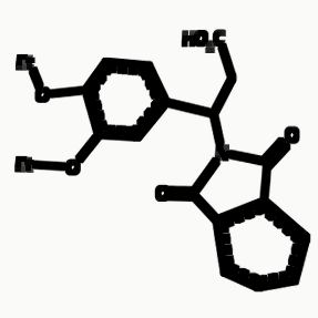 CCOc1ccc(C(CC(=O)O)N2C(=O)c3ccccc3C2=O)cc1OCC